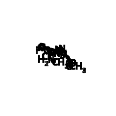 CCN.CS(=O)(=O)OCC#Cc1cc2ncnc(Nc3ccc(OCc4cccc(F)c4)c(Cl)c3)c2s1